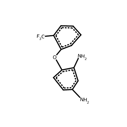 Nc1ccc(Oc2ccccc2C(F)(F)F)c(N)c1